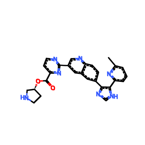 Cc1cccc(-c2[nH]cnc2-c2ccc3ncc(-c4nccc(C(=O)O[C@@H]5CCNC5)n4)cc3c2)n1